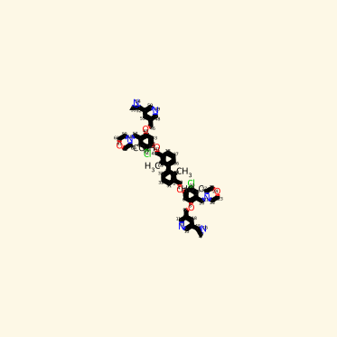 Cc1c(COc2cc(OCc3cncc(C4=NC4)c3)c(CN3CCOC[C@@H]3C(=O)O)cc2Cl)cccc1-c1cccc(COc2cc(OCc3cncc(C4C=N4)c3)c(CN3CCOC[C@@H]3C(=O)O)cc2Cl)c1C